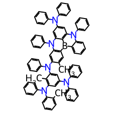 Cc1ccccc1N(c1ccccc1)c1cc(N(c2ccccc2)c2ccccc2)cc(N(c2ccccc2)c2cc3c(cc2C)B2c4ccccc4N(c4ccccc4)c4cc(N(c5ccccc5)c5ccccc5)cc(c42)N3c2ccccc2)c1C